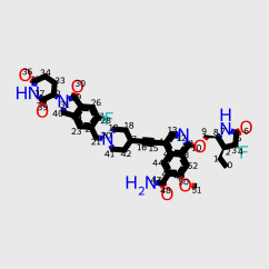 CC[C@@H]1[C@H](F)C(=O)N[C@@H]1COc1ncc(C#CC2CCN(Cc3cc4c(cc3F)C(=O)N(C3CCC(=O)NC3=O)C4)CC2)c2cc(C(N)=O)c(OC)cc12